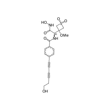 COC1([C@@H](NC(=O)c2ccc(C#CC#CCCO)cc2)C(=O)NO)CS(=O)(=O)C1